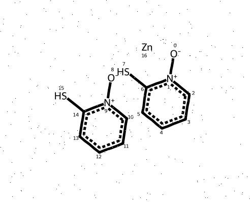 [O-][n+]1ccccc1S.[O-][n+]1ccccc1S.[Zn]